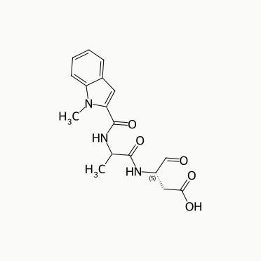 CC(NC(=O)c1cc2ccccc2n1C)C(=O)N[C@H](C=O)CC(=O)O